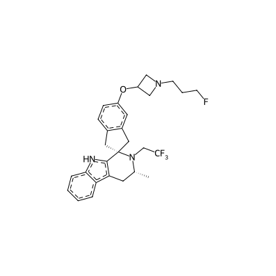 C[C@@H]1Cc2c([nH]c3ccccc23)[C@]2(Cc3ccc(OC4CN(CCCF)C4)cc3C2)N1CC(F)(F)F